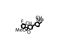 COC(=O)C1(c2cccc(F)c2C)CC=C(c2ccc3cnn(C)c3c2)CC1